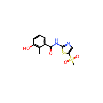 Cc1c(O)cccc1C(=O)Nc1ncc(S(C)(=O)=O)s1